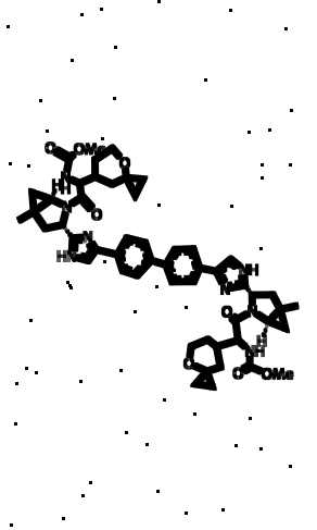 COC(=O)NC(C(=O)N1[C@H](c2nc(-c3ccc(-c4ccc(-c5c[nH]c([C@@H]6CC7(C)C[C@H]7N6C(=O)C(NC(=O)OC)C6CCOC7(CC7)C6)n5)cc4)cc3)c[nH]2)CC2(C)C[C@@H]12)C1CCOC2(CC2)C1